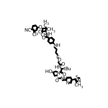 Cc1ncsc1-c1ccc(CNC(=O)[C@@H]2C[C@@H](O)CN2C(=O)C(NC(=O)COCCCCCNc2ccc(C(=O)N[C@H]3C(C)(C)[C@H](Oc4ccc(C#N)c(Cl)c4)C3(C)C)cc2)C(C)(C)C)nc1